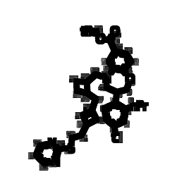 CCCc1cc(Cl)ccc1C1COc2ccc(C(=O)OC(C)(C)C)cc2N(CC2CCC2CC2=CC(CCSc3ncccn3)C2)C1